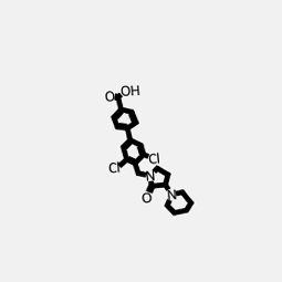 O=C(O)c1ccc(-c2cc(Cl)c(CN3CCC(N4CCCCC4)C3=O)c(Cl)c2)cc1